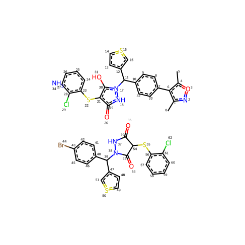 Cc1noc(C)c1-c1ccc(C(c2ccsc2)n2[nH]c(=O)c(Sc3ccccc3Cl)c2O)cc1.N.O=C1NN(C(c2ccc(Br)cc2)c2ccsc2)C(=O)C1Sc1ccccc1Cl